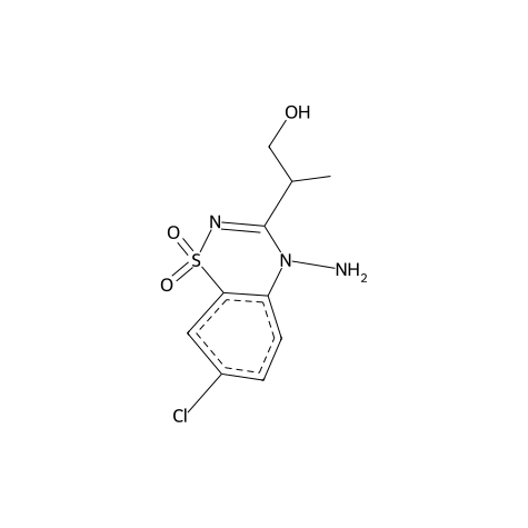 CC(CO)C1=NS(=O)(=O)c2cc(Cl)ccc2N1N